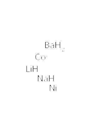 [BaH2].[Co].[LiH].[NaH].[Ni]